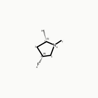 C[C@H]1C[C@@H](F)CN1C